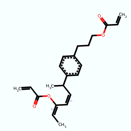 C=CC(=O)OCCCc1ccc(C(C)/C=C\C(=C/C)OC(=O)C=C)cc1